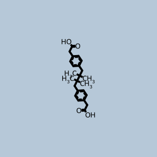 CC(C)(Cc1ccc(CC(=O)O)cc1)C(C)(C)Cc1ccc(CC(=O)O)cc1